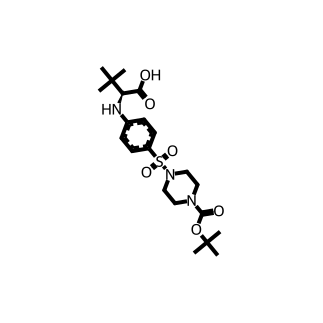 CC(C)(C)OC(=O)N1CCN(S(=O)(=O)c2ccc(N[C@H](C(=O)O)C(C)(C)C)cc2)CC1